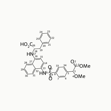 COC(=O)C(OC)c1ccc(S(=O)(=O)Nc2ccc(N[C@@H](Cc3ccccc3)C(=O)O)c3ccccc23)cc1